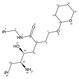 CC(C)CNC(=O)C(CCOC1CCCCO1)C[C@H](O)[C@@H](N)CC(C)C